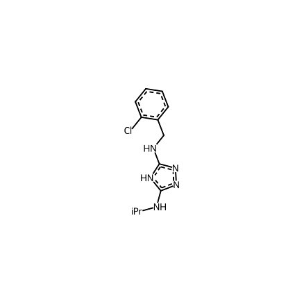 CC(C)Nc1nnc(NCc2ccccc2Cl)[nH]1